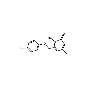 Cc1cc(COc2ccc(Br)cc2)n(O)c(=O)c1